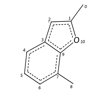 Cc1[c]c2cccc(C)c2o1